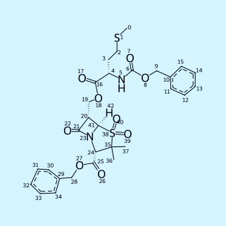 CSCC[C@H](NC(=O)OCc1ccccc1)C(=O)OC[C@H]1C(=O)N2[C@@H](C(=O)OCc3ccccc3)C(C)(C)S(=O)(=O)[C@H]12